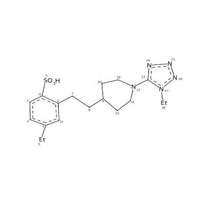 CCc1ccc(S(=O)(=O)O)c(CCC2CCN(c3nnnn3CC)CC2)c1